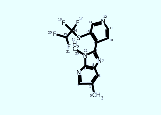 Cc1cnc2c(c1)nc(-c1ccncc1SC(F)(F)C(F)F)n2C